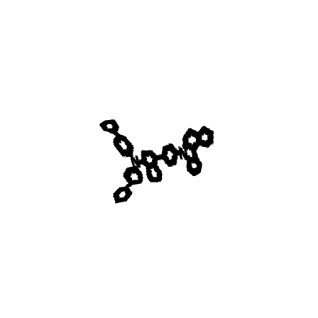 c1ccc(-c2ccc(N(c3ccc(-c4ccccc4)cc3)c3ccc(-c4ccc(-n5c6ccccc6c6c7ccccc7ccc65)cc4)c4ccccc34)cc2)cc1